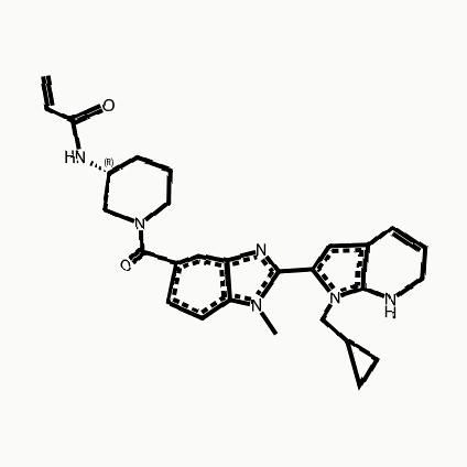 C=CC(=O)N[C@@H]1CCCN(C(=O)c2ccc3c(c2)nc(-c2cc4c(n2CC2CC2)NCC=C4)n3C)C1